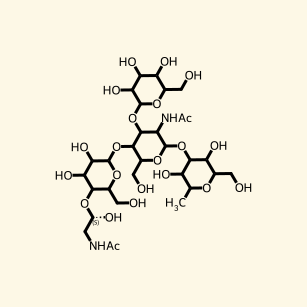 CC(=O)NC[C@@H](O)OC1C(CO)OC(OC2C(CO)OC(OC3C(O)C(C)OC(CO)C3O)C(NC(C)=O)C2OC2OC(CO)C(O)C(O)C2O)C(O)C1O